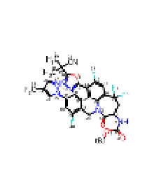 CC(C)(C)OC(=O)NC1CC(F)(F)c2cc(F)c(-c3nnc(C(C)(C)C#N)o3)cc2N(Cc2ccc(-n3cc(C(F)(F)F)cn3)cc2F)C1=O